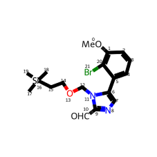 COc1cccc(-c2cnc(C=O)n2COCC[Si](C)(C)C)c1Br